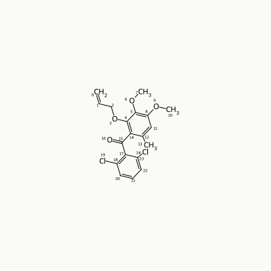 C=CCOc1c(OC)c(OC)cc(C)c1C(=O)c1c(Cl)cccc1Cl